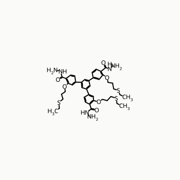 CCSCCCOc1cc(-c2cc(-c3ccc(C(=O)NN)c(OCCCSCC)c3)cc(-c3ccc(C(=O)NN)c(OCCCSCC)c3)c2)ccc1C(=O)NN